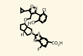 O=C(O)c1cc(F)c2nc(N3C[C@H]4CC[C@H](OCc5c(-c6c(Cl)cccc6Cl)noc5C5CC5)[C@H]4C3)sc2c1